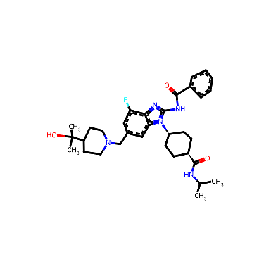 CC(C)NC(=O)[C@H]1CC[C@@H](n2c(NC(=O)c3ccccc3)nc3c(F)cc(CN4CCC(C(C)(C)O)CC4)cc32)CC1